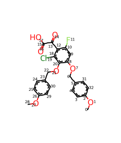 COc1ccc(COc2cc(F)c(C(=O)C(=O)O)c(Cl)c2OCc2ccc(OC)cc2)cc1